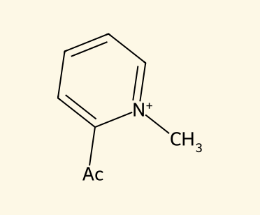 CC(=O)c1cccc[n+]1C